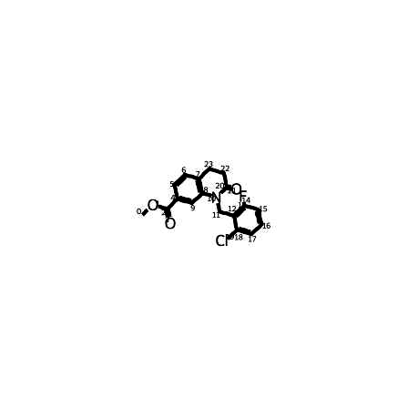 COC(=O)c1ccc2c(c1)N(Cc1c(F)cccc1Cl)C(=O)CC2